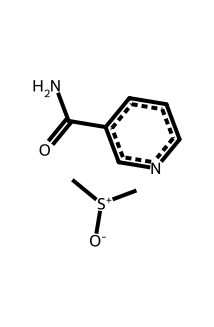 C[S+](C)[O-].NC(=O)c1cccnc1